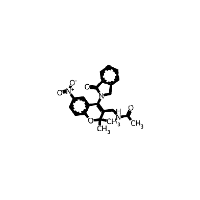 CC(=O)NCC1=C(N2Cc3ccccc3C2=O)c2cc([N+](=O)[O-])ccc2OC1(C)C